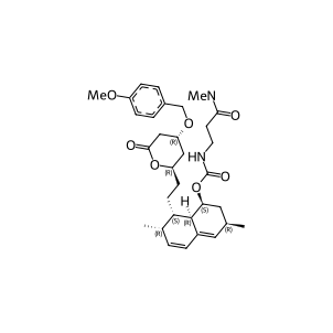 CNC(=O)CCNC(=O)O[C@H]1C[C@@H](C)C=C2C=C[C@H](C)[C@H](CC[C@@H]3C[C@@H](OCc4ccc(OC)cc4)CC(=O)O3)[C@H]21